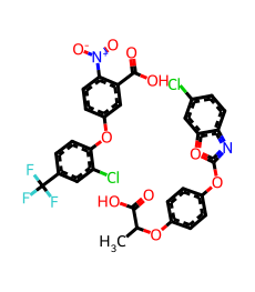 CC(Oc1ccc(Oc2nc3ccc(Cl)cc3o2)cc1)C(=O)O.O=C(O)c1cc(Oc2ccc(C(F)(F)F)cc2Cl)ccc1[N+](=O)[O-]